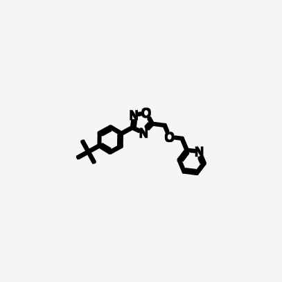 CC(C)(C)c1ccc(-c2noc(COCc3ccccn3)n2)cc1